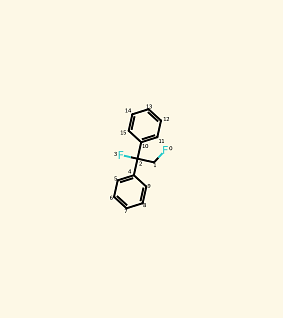 FCC(F)(c1ccccc1)c1ccccc1